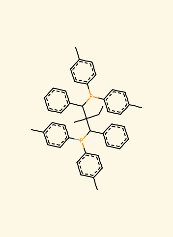 CCC(C)(C(c1ccccc1)P(c1ccc(C)cc1)c1ccc(C)cc1)C(c1ccccc1)P(c1ccc(C)cc1)c1ccc(C)cc1